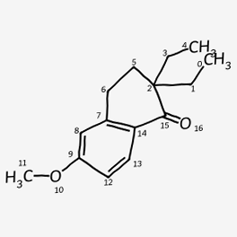 CCC1(CC)CCc2cc(OC)ccc2C1=O